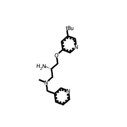 CN(Cc1cccnc1)C[C@H](N)COc1cncc(C(C)(C)C)c1